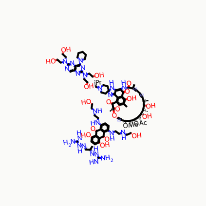 CC(/C=N/NC(=N)N)=N\NC(=N)N.CO[C@@H]1/C=C\O[C@@]2(C)Oc3c(C)c(O)c4c(c3C2=O)C2=NC3(CCN(CC(C)C)CC3)NC2=C(NC(=O)/C(C)=C\C=C/[C@@H](C)[C@@H](O)[C@H](C)[C@H](O)[C@H](C)[C@H](OC(C)=O)[C@@H]1C)C4=O.O=C1c2c(O)ccc(O)c2C(=O)c2c(NCCNCCO)ccc(NCCNCCO)c21.OCCN(CCO)c1nc(N2CCCCC2)c2nc(N(CCO)CCO)ncc2n1